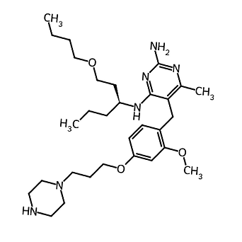 CCCCOCC[C@H](CCC)Nc1nc(N)nc(C)c1Cc1ccc(OCCCN2CCNCC2)cc1OC